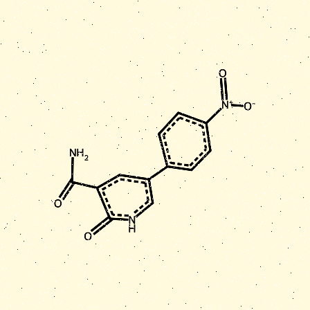 NC(=O)c1cc(-c2ccc([N+](=O)[O-])cc2)c[nH]c1=O